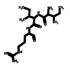 CCC(C)C(N)C(=O)NC(C(=O)NC(C=O)CCCNC(=N)N)C(C)CC